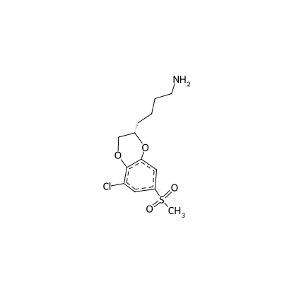 CS(=O)(=O)c1cc(Cl)c2c(c1)O[C@@H](CCCCN)CO2